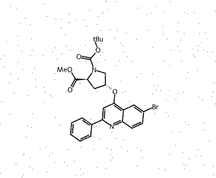 COC(=O)[C@@H]1C[C@@H](Oc2cc(-c3ccccc3)nc3ccc(Br)cc23)CN1C(=O)OC(C)(C)C